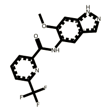 COc1cc2[nH]ncc2cc1NC(=O)c1cccc(C(F)(F)F)n1